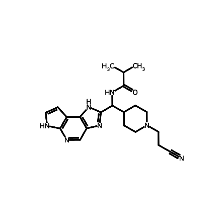 CC(C)C(=O)NC(c1nc2cnc3[nH]ccc3c2[nH]1)C1CCN(CCC#N)CC1